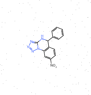 O=[N+]([O-])c1ccc2c(c1)-n1nnnc1NC2c1ccccc1